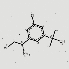 CC(=O)C[C@H](N)c1cc(Cl)cc(C(C)(C)O)c1